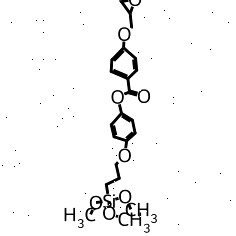 CO[Si](CCCOc1ccc(OC(=O)c2ccc(OCC3CO3)cc2)cc1)(OC)OC